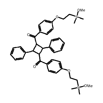 CO[Si](C)(C)CCOc1ccc(C(=O)C2C(c3ccccc3)C(C(=O)c3ccc(OCC[Si](C)(C)OC)cc3)C2c2ccccc2)cc1